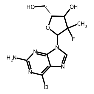 CC1(F)C(O)[C@@H](CO)OC1n1cnc2c(Cl)nc(N)nc21